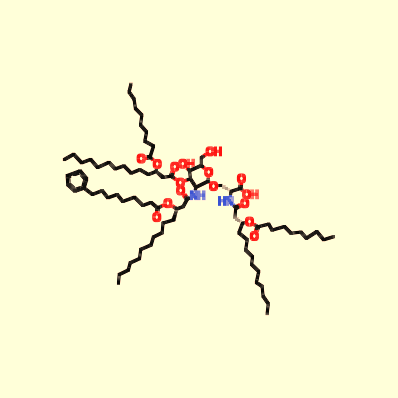 CCCCCCCCCCC[C@H](CC(=O)NC1C(OC[C@@H](NC(=O)C[C@@H](CCCCCCCCCCC)OC(=O)CCCCCCCCC)C(=O)O)OC(CO)C(O)C1OC(=O)C[C@@H](CCCCCCCCCCC)OC(=O)CCCCCCCCC)OC(=O)CCCCCCCCc1ccccc1